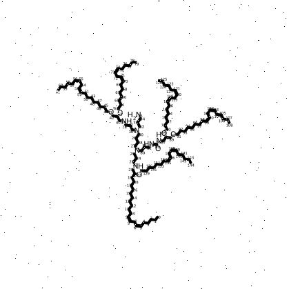 CCCCC/C=C\C/C=C\CCCCCCCCCCC(CNCCCN(CCCCN(CCCN)CCCNCC(COCCCCCCCC/C=C\C/C=C\CCCCC)OCCCCCCC/C=C\C/C=C\CCCCC)CCCNC(=O)NCC(COCCCCCCCC/C=C\C/C=C\CCCCC)OCCCCCCC/C=C\C/C=C\CCCCC)OCCCCCCC/C=C\C/C=C\CCCCC